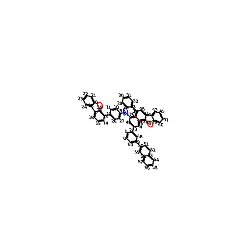 c1cc(-c2cccc(N(c3ccc(-c4cccc5c4oc4ccccc45)cc3)c3ccccc3-c3ccc4oc5ccccc5c4c3)c2)cc(-c2ccc3ccccc3c2)c1